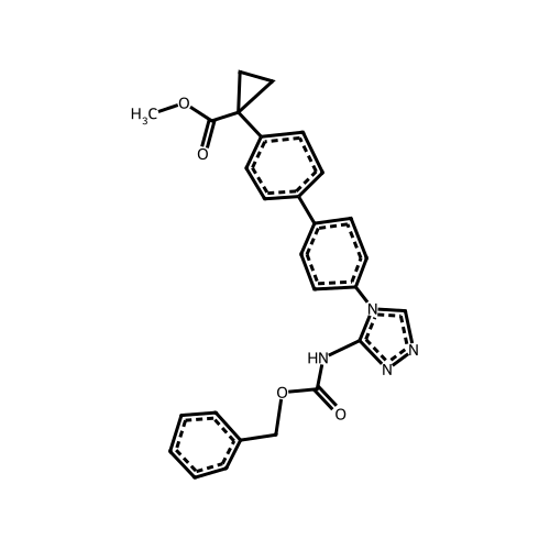 COC(=O)C1(c2ccc(-c3ccc(-n4cnnc4NC(=O)OCc4ccccc4)cc3)cc2)CC1